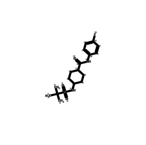 CC(C)(C)S(=O)(=O)NC1CCC(C(=O)Nc2ccc(F)cc2)CC1